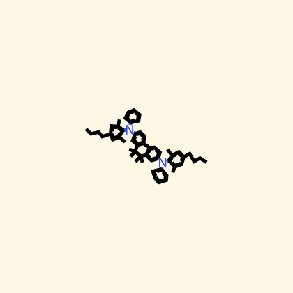 CCCCc1cc(C)c(N(c2ccccc2)c2ccc3c(c2)C(C)(C)C(C)(C)c2cc(N(c4ccccc4)c4c(C)cc(CCCC)cc4C)ccc2-3)c(C)c1